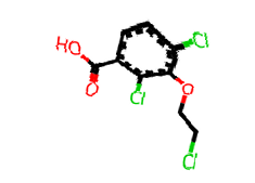 O=C(O)c1ccc(Cl)c(OCCCl)c1Cl